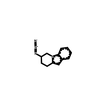 [N-]=[N+]=NC1CCc2cc3ccccc3n2C1